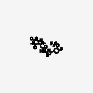 Cn1nc2c(c1CC(=O)Nc1nc(-c3ccc(F)c(OC(F)(F)F)c3)cs1)c(=O)n(C)c(=O)n2C